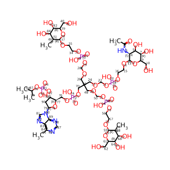 CC(=O)N[C@H]1C(O)[C@@H](O)C(CO)O[C@H]1OCCOP(=O)(O)OCOCC(COCOP(=O)(O)OCCO[C@@H]1OC(CO)[C@H](O)C(O)[C@@H]1C)(COCOP(=O)(O)OCCO[C@@H]1OC(CO)[C@H](O)C(O)[C@@H]1C)COP(=O)(O)OC[C@H]1O[C@@H](n2cnc3c(C)ncnc32)C[C@@H]1OP(=O)(O)OC(C)C